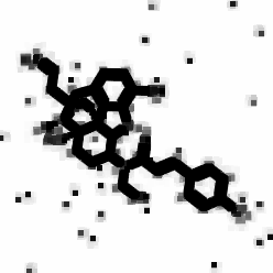 C=CCN1CC[C@]23c4c5ccc(O)c4OC2C(N(CC(C)C)C(=O)/C=C/c2ccc(C(F)(F)F)cc2)CC[C@@]3(OC(C)=O)[C@H]1C5